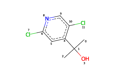 CC(C)(O)c1cc(Cl)ncc1Cl